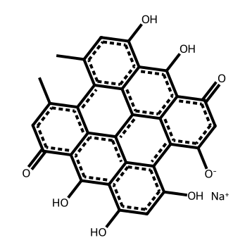 Cc1cc(O)c2c(O)c3c(=O)cc([O-])c4c5c(O)cc(O)c6c(O)c7c(=O)cc(C)c8c1c2c(c34)c(c65)c78.[Na+]